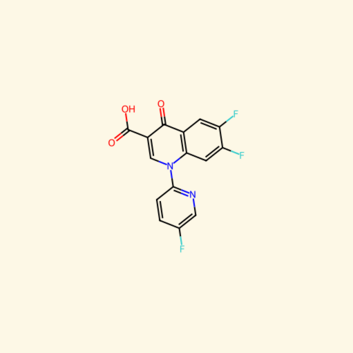 O=C(O)c1cn(-c2ccc(F)cn2)c2cc(F)c(F)cc2c1=O